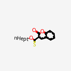 CCCCCCCOC(=S)c1cc2ccccc2oc1=O